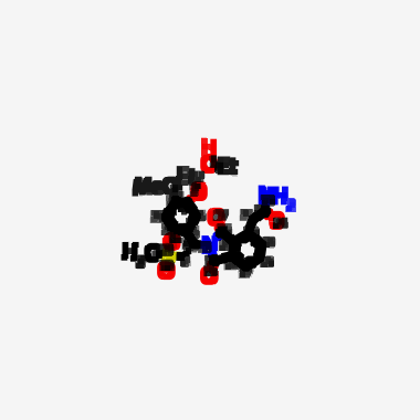 CCO.CCOc1cc([C@@H](CS(C)(=O)=O)N2C(=O)c3cccc(CC(N)=O)c3C2=O)ccc1OC